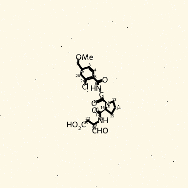 COCC1C=CC(C(=O)NCC(=O)N2CCC[C@H]2C(=O)N[C@H](C=O)CC(=O)O)=C(Cl)C1